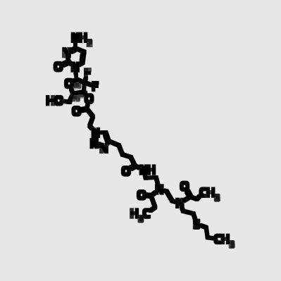 CCCSCCN(CCN(CCNC(=O)CCCc1cn(CCC(=O)O[C@H]2[C@@H](CO)O[C@@H](n3ccc(N)nc3=O)C2(F)F)nn1)C(=O)CC)C(=O)CC